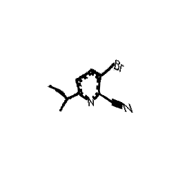 CC(C)c1ccc(Br)c(C#N)n1